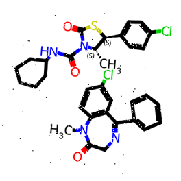 CN1C(=O)CN=C(c2ccccc2)c2cc(Cl)ccc21.C[C@H]1[C@H](c2ccc(Cl)cc2)SC(=O)N1C(=O)NC1CCCCC1